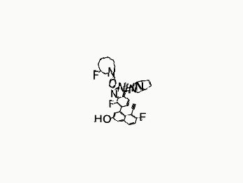 C#Cc1c(F)ccc2cc(O)cc(-c3ccc4c(N5CC6CCC(C5)N6)nc(OCN5CCCCCC(F)C5)nc4c3F)c12